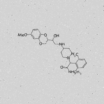 COc1ccc2c(c1)OCC(C(O)CNC1CCN(C(C(N)=O)c3c(C)cccc3C)CC1)O2